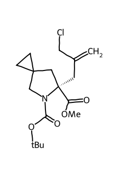 C=C(CCl)C[C@@]1(C(=O)OC)CC2(CC2)CN1C(=O)OC(C)(C)C